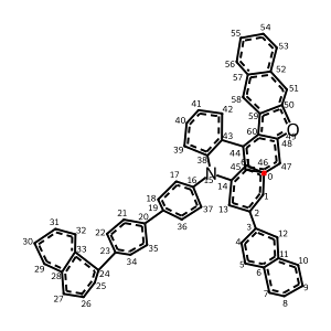 c1cc(-c2ccc3ccccc3c2)cc(N(c2ccc(-c3ccc(-c4cccc5ccccc45)cc3)cc2)c2ccccc2-c2cccc3oc4cc5ccccc5cc4c23)c1